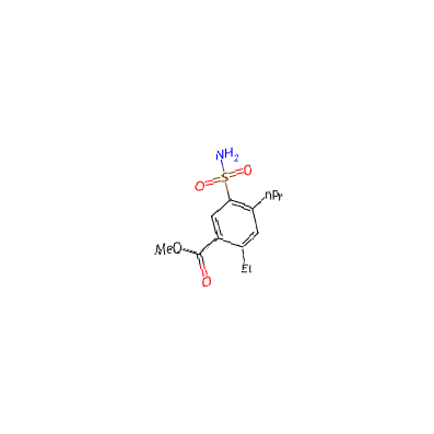 CCCc1cc(CC)c(C(=O)OC)cc1S(N)(=O)=O